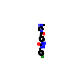 CN[C@@H]1CCN(C(=O)Cc2ccc(NC(=O)NCc3ccc(Cl)cc3)cc2)C1